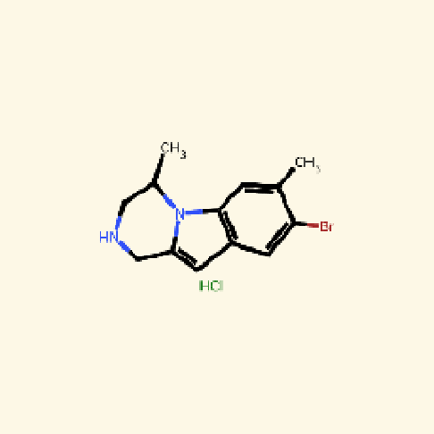 Cc1cc2c(cc1Br)cc1n2C(C)CNC1.Cl